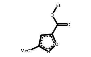 CCOC(=O)c1cc(OC)no1